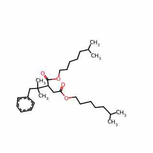 CC(C)CCCCCOC(=O)CC(C(=O)OCCCCCC(C)C)C(C)(C)Cc1ccccc1